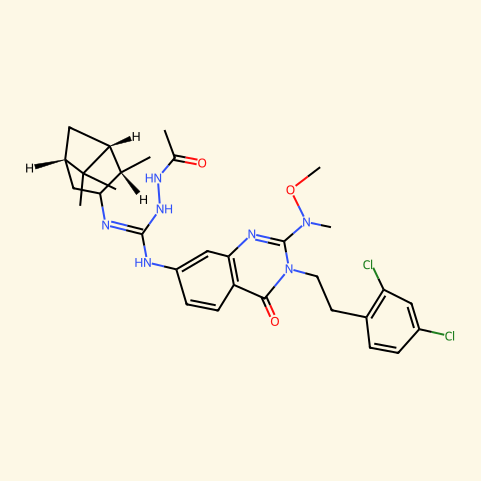 CON(C)c1nc2cc(N/C(=N/C3C[C@@H]4C[C@H]([C@@H]3C)C4(C)C)NNC(C)=O)ccc2c(=O)n1CCc1ccc(Cl)cc1Cl